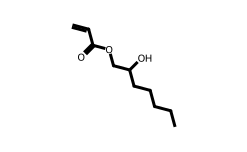 C=CC(=O)OCC(O)CCCCC